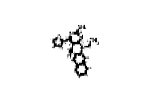 CCN(c1ccc2ccccc2c1)c1nc(N)nc(-c2ccco2)c1C#N